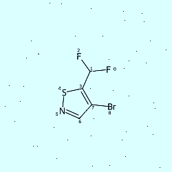 FC(F)c1sncc1Br